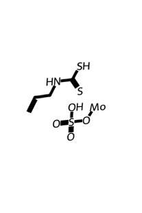 C=CCNC(=S)S.O=S(=O)(O)[O][Mo]